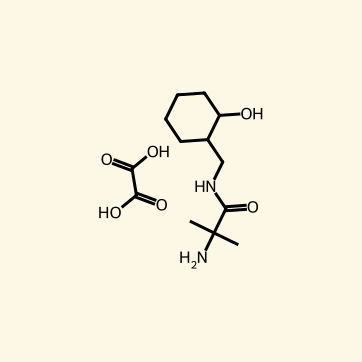 CC(C)(N)C(=O)NCC1CCCCC1O.O=C(O)C(=O)O